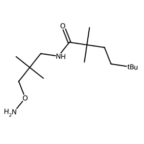 CC(C)(C)CCC(C)(C)C(=O)NCC(C)(C)CON